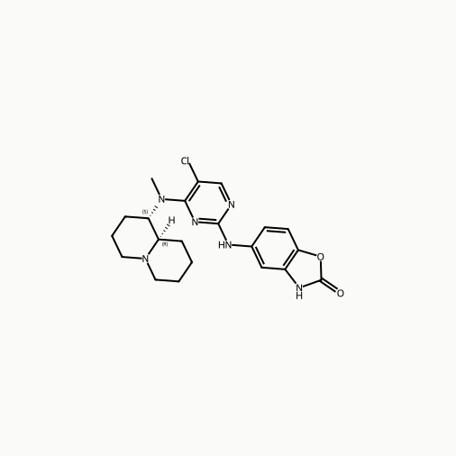 CN(c1nc(Nc2ccc3oc(=O)[nH]c3c2)ncc1Cl)[C@H]1CCCN2CCCC[C@H]12